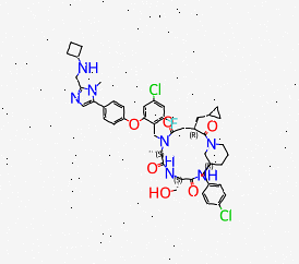 C[C@H]1C(=O)N[C@@H](CO)C(=O)N[C@@]2(Cc3ccc(Cl)cc3)CCCN(C2)C(=O)[C@H](CC2CC2)CC(=O)N1Cc1c(F)cc(Cl)cc1Oc1ccc(-c2cnc(CNC3CCC3)n2C)cc1